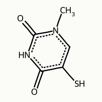 Cn1cc(S)c(=O)[nH]c1=O